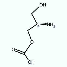 N[C@H](CO)COC(=O)O